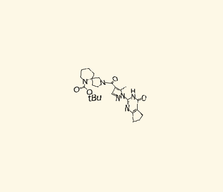 Cc1c(C(=O)N2CCC3(CCCCN3C(=O)OC(C)(C)C)C2)cnn1-c1nc2c(c(=O)[nH]1)CCC2